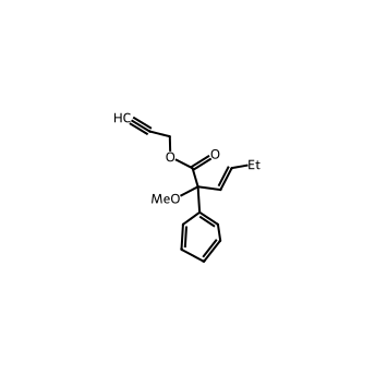 C#CCOC(=O)C(/C=C/CC)(OC)c1ccccc1